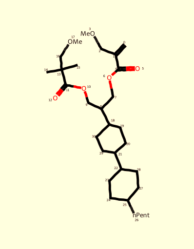 C=C(COC)C(=O)OCC(COC(=O)C(C)(C)COC)C1CCC(C2CCC(CCCCC)CC2)CC1